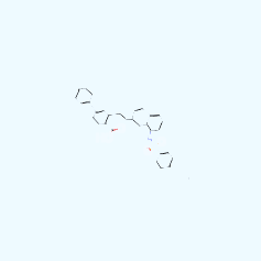 Cc1ccc(S(=O)(=O)Nc2cccc3ccc(C=Cc4cc(-c5ccc(F)cc5)ccc4C(=O)O)cc23)cc1